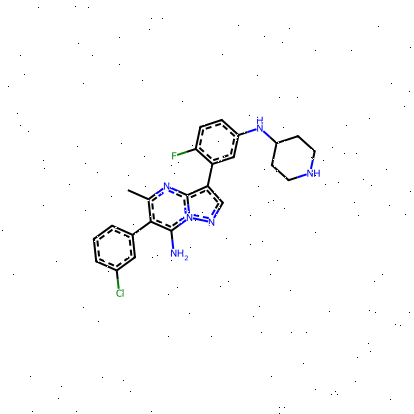 Cc1nc2c(-c3cc(NC4CCNCC4)ccc3F)cnn2c(N)c1-c1cccc(Cl)c1